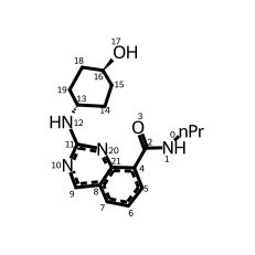 CCCNC(=O)c1cccc2cnc(N[C@H]3CC[C@H](O)CC3)nc12